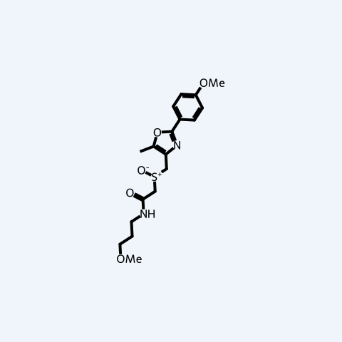 COCCCNC(=O)C[S+]([O-])Cc1nc(-c2ccc(OC)cc2)oc1C